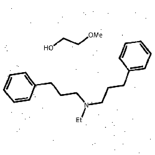 CCN(CCCc1ccccc1)CCCc1ccccc1.COCCO